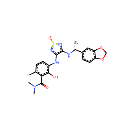 CCc1ccc(Nc2n[s+]([O-])nc2N[C@@H](c2ccc3c(c2)OCO3)C(C)(C)C)c(O)c1C(=O)N(C)C